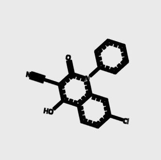 N#Cc1c(O)c2ccc(Cl)cc2n(-c2ccccc2)c1=O